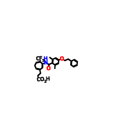 Cc1cc(OCCc2ccccc2)cc(C)c1C(=O)NC1=CC(CCC(=O)O)=CCC=C1C(F)(F)F